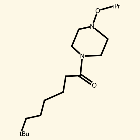 CC(C)ON1CCN(C(=O)CCCCCC(C)(C)C)CC1